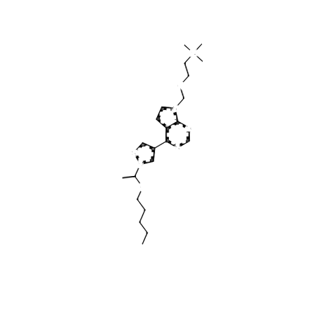 CCCCCOC(C)n1cc(-c2ncnc3c2ccn3COCC[Si](C)(C)C)cn1